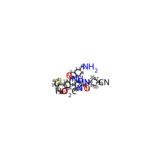 Cc1cc(CN)ccc1NC(=O)c1cc2c(cc1-c1ccc(C(=O)NC3CCC(C#N)CC3)nc1C(=O)O)OCCc1ccsc1-2